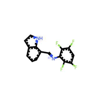 Fc1cc(F)c(F)c(/N=C/c2cccc3cc[nH]c23)c1F